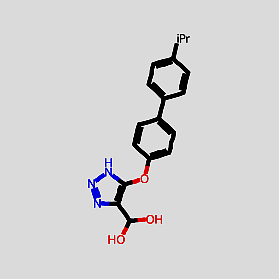 CC(C)c1ccc(-c2ccc(Oc3[nH]nnc3C(O)O)cc2)cc1